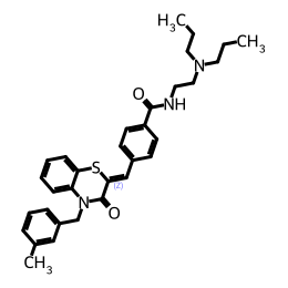 CCCN(CCC)CCNC(=O)c1ccc(/C=C2\Sc3ccccc3N(Cc3cccc(C)c3)C2=O)cc1